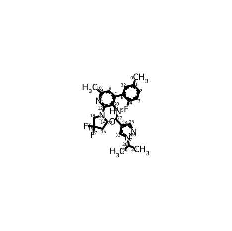 Cc1ccc(F)c(-c2cc(C)nc(N3CCC(F)(F)C3)c2NC(=O)c2cnn(C(C)C)c2)c1